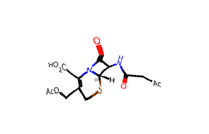 CC(=O)CC(=O)NC1C(=O)N2C(C(=O)O)=C(COC(C)=O)CS[C@@H]12